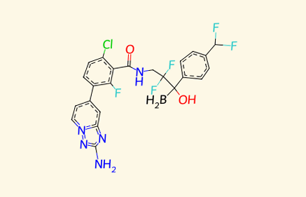 BC(O)(c1ccc(C(F)F)cc1)C(F)(F)CNC(=O)c1c(Cl)ccc(-c2ccn3nc(N)nc3c2)c1F